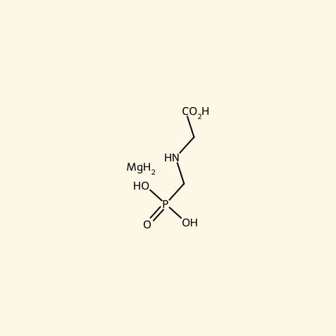 O=C(O)CNCP(=O)(O)O.[MgH2]